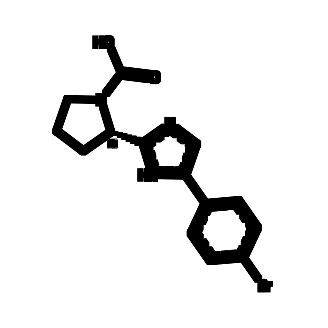 O=C(O)N1CCC[C@H]1c1ncc(-c2ccc(Br)cc2)[nH]1